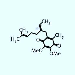 C/C=C(/CCC=C(C)C)CC1=C(C)C(=O)C(OC)=C(OC)C1=O